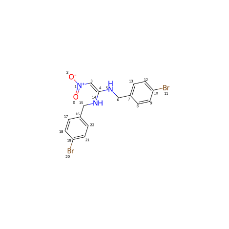 O=[N+]([O-])C=C(NCc1ccc(Br)cc1)NCc1ccc(Br)cc1